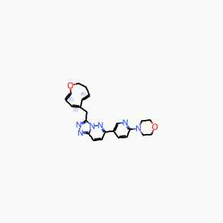 C1=C(Cc2nnc3ccc(-c4ccc(N5CCOCC5)nc4)nn23)\C=C\CCO/C=C/1